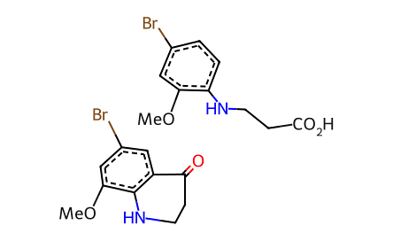 COc1cc(Br)cc2c1NCCC2=O.COc1cc(Br)ccc1NCCC(=O)O